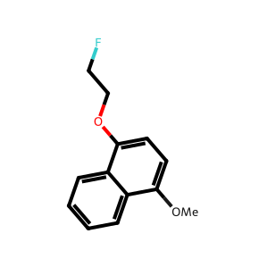 COc1ccc(OCCF)c2ccccc12